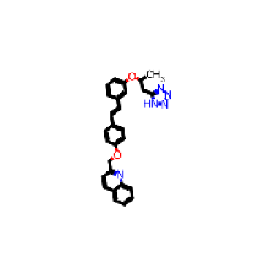 CC(Cc1nnn[nH]1)Oc1cccc(C=Cc2ccc(OCc3ccc4ccccc4n3)cc2)c1